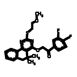 COCCSc1nc(OCC(=O)c2ccc(F)c(F)c2)c2c(n1)-c1ccccc1CC2(C)C